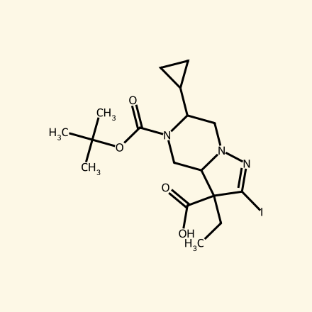 CCC1(C(=O)O)C(I)=NN2CC(C3CC3)N(C(=O)OC(C)(C)C)CC21